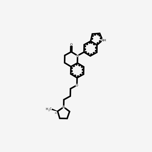 C[C@@H]1CCCN1CCCOc1ccc2c(c1)CCC(=O)N2c1ccc2[nH]ccc2c1